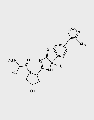 CC(=O)NC(C(=O)N1CC(O)CC1C1=NC(=O)C(C)(c2ccc(-c3scnc3C)cc2)N1)C(C)(C)C